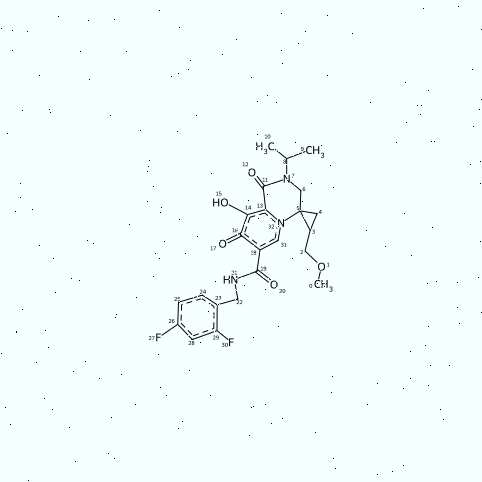 COCC1CC12CN(C(C)C)C(=O)c1c(O)c(=O)c(C(=O)NCc3ccc(F)cc3F)cn12